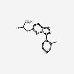 CCC(Sc1ccc2nnc(-c3ccccc3F)n2n1)C(=O)O